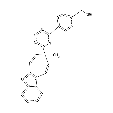 CC(C)(C)Cc1ccc(-c2ncnc(C3(C)C=Cc4oc5ccccc5c4C=C3)n2)cc1